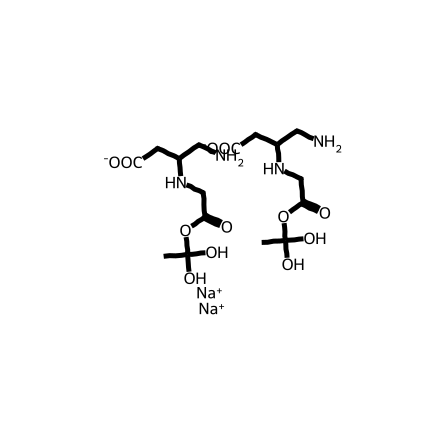 CC(O)(O)OC(=O)CNC(CN)CC(=O)[O-].CC(O)(O)OC(=O)CNC(CN)CC(=O)[O-].[Na+].[Na+]